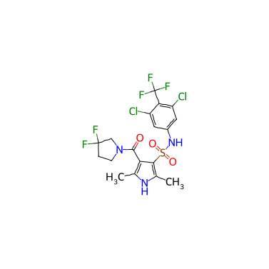 Cc1[nH]c(C)c(S(=O)(=O)Nc2cc(Cl)c(C(F)(F)F)c(Cl)c2)c1C(=O)N1CCC(F)(F)C1